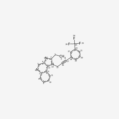 CCc1nc2cnc3ccccc3c2n1CC#Cc1cccc(C(F)(F)F)c1